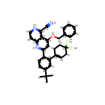 CC(C)(C)c1ccc(-c2cc(OCc3ccccc3)c3c(C#N)nccc3n2)c(C2=CCC(F)(F)CC2)c1